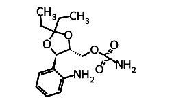 CCC1(CC)O[C@H](c2ccccc2N)[C@@H](COS(N)(=O)=O)O1